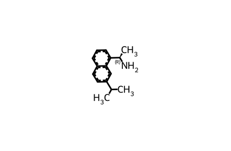 CC(C)c1ccc2cccc([C@@H](C)N)c2c1